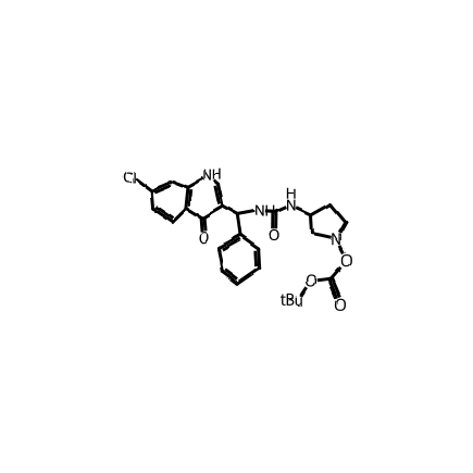 CC(C)(C)OC(=O)ON1CCC(NC(=O)NC(c2ccccc2)c2c[nH]c3cc(Cl)ccc3c2=O)C1